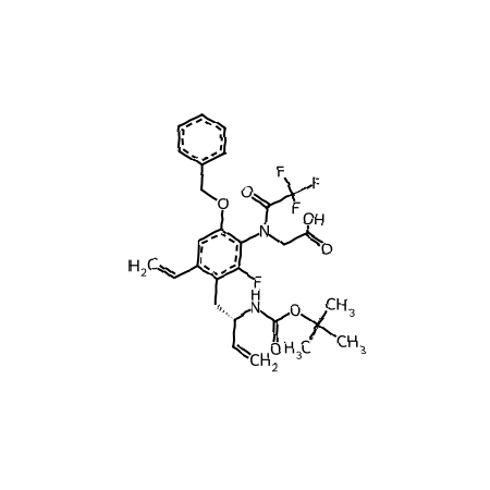 C=Cc1cc(OCc2ccccc2)c(N(CC(=O)O)C(=O)C(F)(F)F)c(F)c1C[C@@H](C=C)NC(=O)OC(C)(C)C